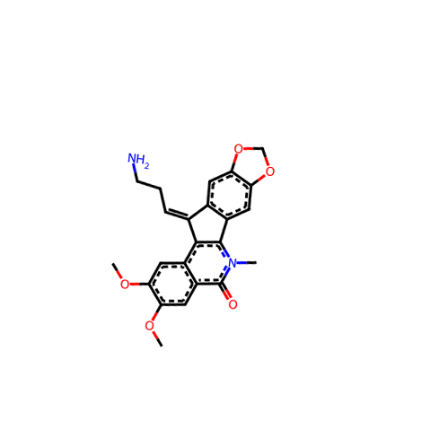 COc1cc2c3c(n(C)c(=O)c2cc1OC)-c1cc2c(cc1/C3=C\CCN)OCO2